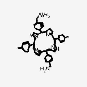 Cc1ccc(-c2c3nc(c(-c4ccc(CN)cc4)c4ccc([nH]4)c(-c4ccc(C)cc4)c4nc(c(-c5ccc(CN)cc5)c5ccc2[nH]5)C=C4)C=C3)cc1